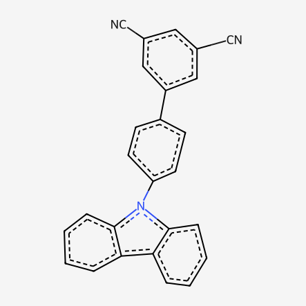 N#Cc1cc(C#N)cc(-c2ccc(-n3c4ccccc4c4ccccc43)cc2)c1